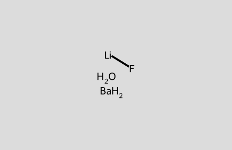 O.[BaH2].[Li][F]